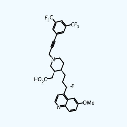 COc1ccc2nccc([C@@H](F)CC[C@@H]3CCN(CC#Cc4cc(C(F)(F)F)cc(C(F)(F)F)c4)C[C@@H]3CC(=O)O)c2c1